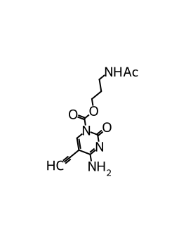 C#Cc1cn(C(=O)OCCCNC(C)=O)c(=O)nc1N